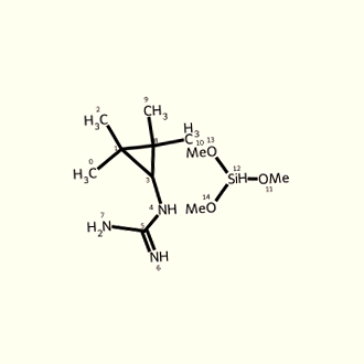 CC1(C)C(NC(=N)N)C1(C)C.CO[SiH](OC)OC